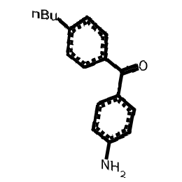 CCCCc1ccc(C(=O)c2ccc(N)cc2)cc1